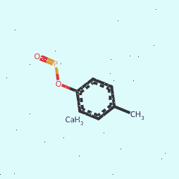 Cc1ccc(OP=O)cc1.[CaH2]